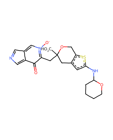 O=C1C2=CN=CC2=C[N+]([O-])=C1CC1(C(=O)O)Cc2cc(NC3CCCCO3)sc2CO1